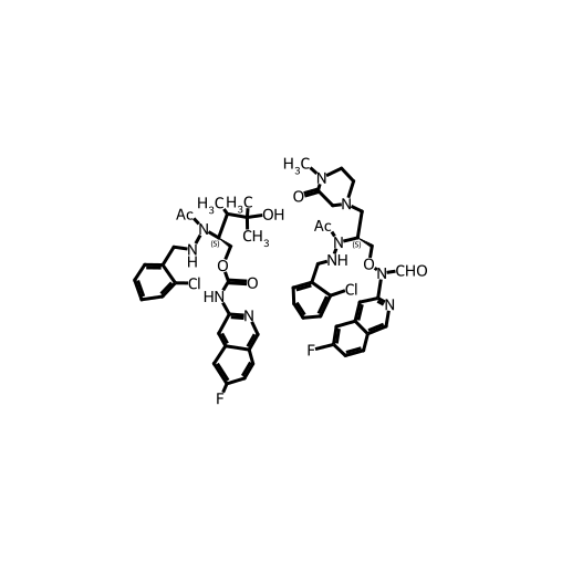 CC(=O)N(NCc1ccccc1Cl)[C@H](COC(=O)Nc1cc2cc(F)ccc2cn1)C(C)C(C)(C)O.CC(=O)N(NCc1ccccc1Cl)[C@H](CON(C=O)c1cc2cc(F)ccc2cn1)CN1CCN(C)C(=O)C1